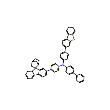 c1ccc(-c2ccc(N(c3ccc(-c4ccc5c(c4)C4(CC6CCC4C6)c4ccccc4-5)cc3)c3ccc(-c4ccc5c(c4)sc4ccccc45)cc3)cc2)cc1